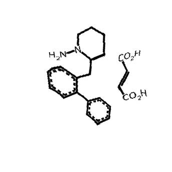 NN1CCCCC1Cc1ccccc1-c1ccccc1.O=C(O)C=CC(=O)O